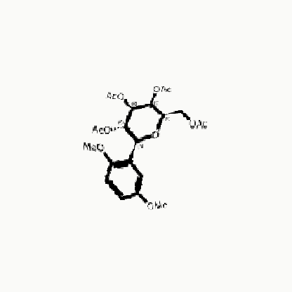 COc1ccc(OC)c([C@@H]2O[C@H](COC(C)=O)[C@H](OC(C)=O)[C@H](OC(C)=O)[C@H]2OC(C)=O)c1